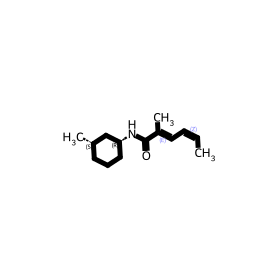 C/C=C\C=C(/C)C(=O)N[C@@H]1CCC[C@H](C)C1